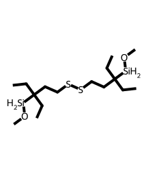 CCC(CC)(CCSSCCC(CC)(CC)[SiH2]OC)[SiH2]OC